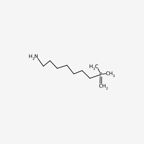 C=P(C)(C)CCCCCCCN